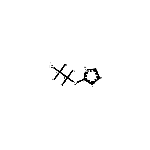 CC(C)(O)C(C)(C)Oc1cccs1